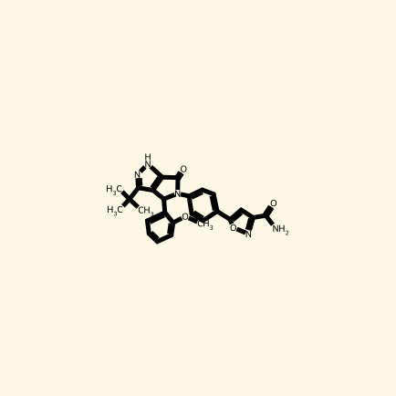 COc1ccccc1C1c2c(C(C)(C)C)n[nH]c2C(=O)N1c1ccc(-c2cc(C(N)=O)no2)cc1